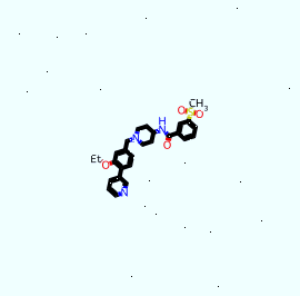 CCOc1cc(CN2CCC(NC(=O)c3cccc(S(C)(=O)=O)c3)CC2)ccc1-c1cccnc1